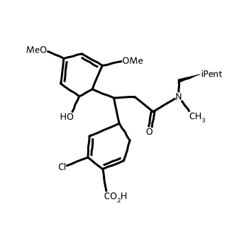 CCC[C@H](C)CN(C)C(=O)CC(C1C=C(Cl)C(C(=O)O)=CC1)C1C(OC)=CC(OC)=CC1O